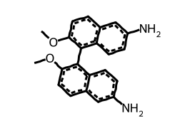 COc1ccc2cc(N)ccc2c1-c1c(OC)ccc2cc(N)ccc12